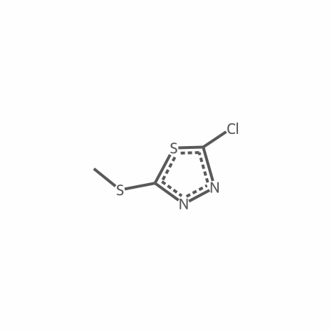 CSc1nnc(Cl)s1